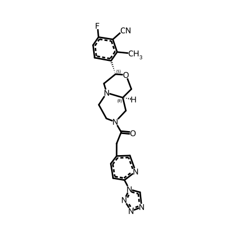 Cc1c([C@H]2CN3CCN(C(=O)Cc4ccc(-n5cnnn5)nc4)C[C@@H]3CO2)ccc(F)c1C#N